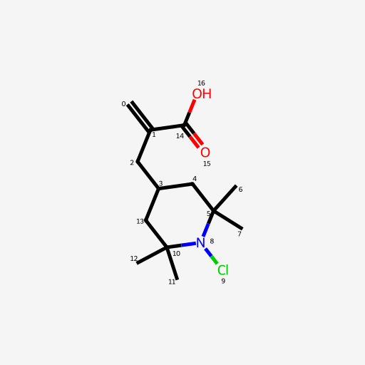 C=C(CC1CC(C)(C)N(Cl)C(C)(C)C1)C(=O)O